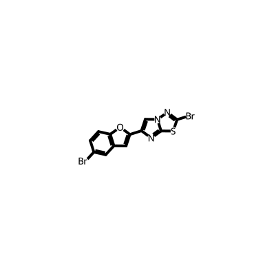 Brc1ccc2oc(-c3cn4nc(Br)sc4n3)cc2c1